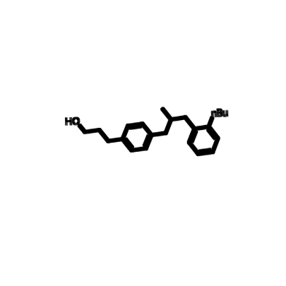 CCCCc1ccccc1CC(C)Cc1ccc(CCCO)cc1